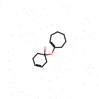 [O]C1(OC2=CCCCCC2)CC=CCC1